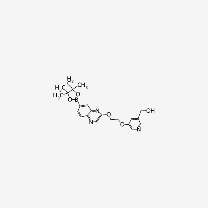 CC1(C)OB(c2ccc3ncc(OCCOc4cncc(CO)c4)nc3c2)OC1(C)C